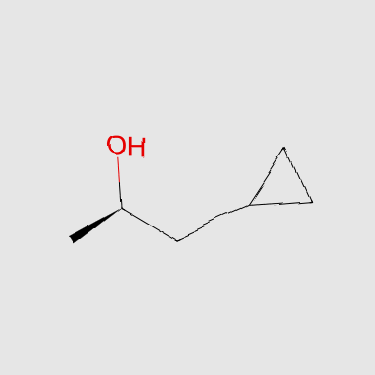 C[C@@H](O)CC1CC1